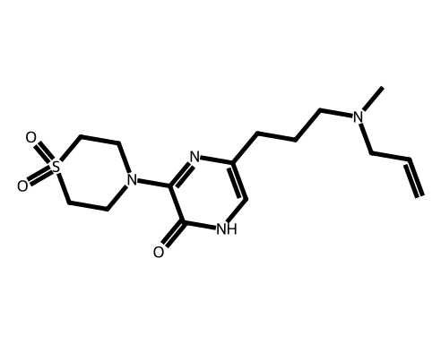 C=CCN(C)CCCc1c[nH]c(=O)c(N2CCS(=O)(=O)CC2)n1